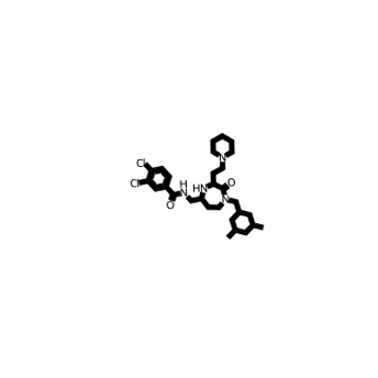 CC1CC(C)CC(CN2CCC(CNC(=O)c3ccc(Cl)c(Cl)c3)NC(CCN3CCCCC3)C2=O)C1